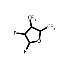 FC1OC(C(F)(F)F)C(C(F)(F)F)C1F